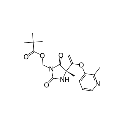 C=C(Oc1cccnc1C)[C@]1(C)NC(=O)N(COC(=O)C(C)(C)C)C1=O